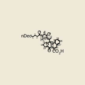 CCCCCCCCCCCCCC(=O)NC(C)C(=O)NC(C)C(=O)N1CCCC1C(=O)NC(Cc1ccccc1)C(=O)O